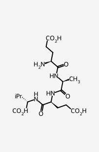 CC(C)[C@H](NC(=O)[C@H](CCC(=O)O)NC(=O)[C@H](C)NC(=O)[C@@H](N)CCC(=O)O)C(=O)O